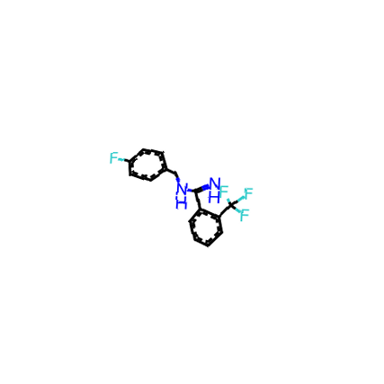 N=C(NCc1ccc(F)cc1)c1ccccc1C(F)(F)F